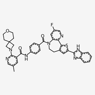 Cc1cnc(N2CC3(CCOCC3)C2)c(C(=O)Nc2ccc(C(=O)N3CCc4cc(-c5nc6ccccc6[nH]5)sc4-c4ncc(F)cc43)cc2)c1